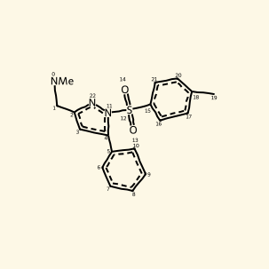 CNCc1cc(-c2ccccc2)n(S(=O)(=O)c2ccc(C)cc2)n1